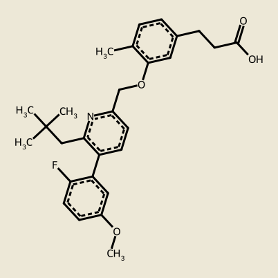 COc1ccc(F)c(-c2ccc(COc3cc(CCC(=O)O)ccc3C)nc2CC(C)(C)C)c1